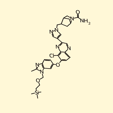 Cc1nc2ccc(Oc3ccc4ncc(-c5cnn(CC6CC7CC6CN7C(N)=O)c5)nc4c3Cl)cc2n1COCC[Si](C)(C)C